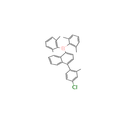 Cc1cc(Cl)ccc1-c1ccc(B(c2c(C)cccc2C)c2c(C)cccc2C)c2ccccc12